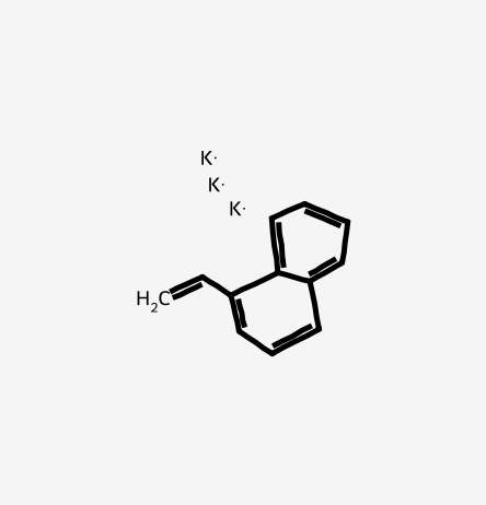 C=Cc1cccc2ccccc12.[K].[K].[K]